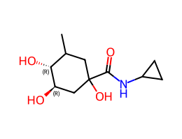 CC1CC(O)(C(=O)NC2CC2)C[C@@H](O)[C@@H]1O